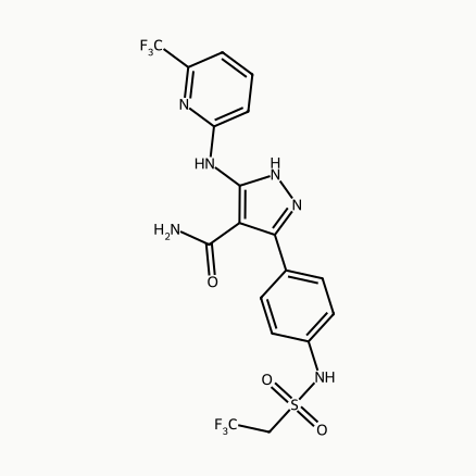 NC(=O)c1c(-c2ccc(NS(=O)(=O)CC(F)(F)F)cc2)n[nH]c1Nc1cccc(C(F)(F)F)n1